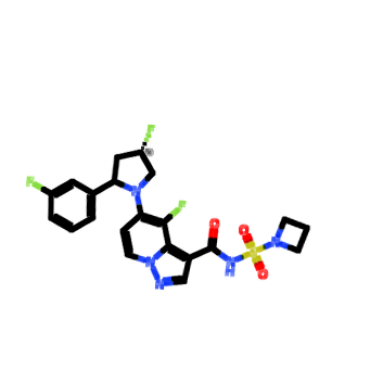 O=C(NS(=O)(=O)N1CCC1)c1cnn2ccc(N3C[C@@H](F)CC3c3cccc(F)c3)c(F)c12